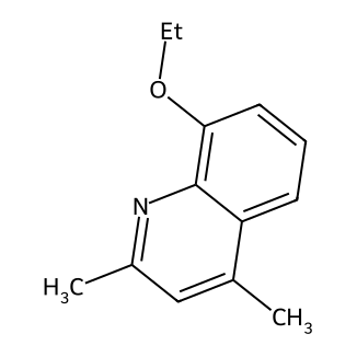 [CH2]COc1cccc2c(C)cc(C)nc12